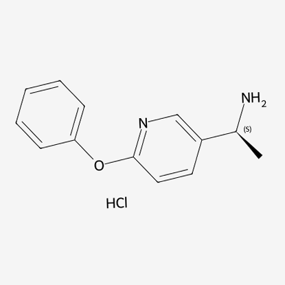 C[C@H](N)c1ccc(Oc2ccccc2)nc1.Cl